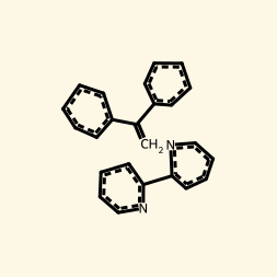 C=C(c1ccccc1)c1ccccc1.c1ccc(-c2ccccn2)nc1